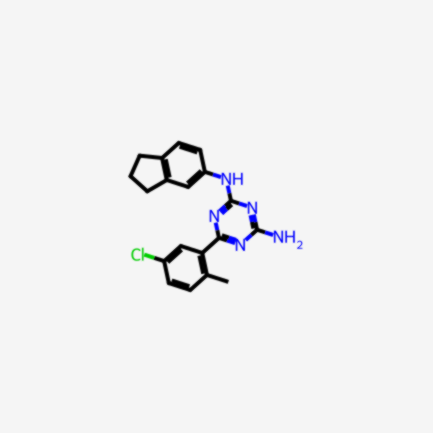 Cc1ccc(Cl)cc1-c1nc(N)nc(Nc2ccc3c(c2)CCC3)n1